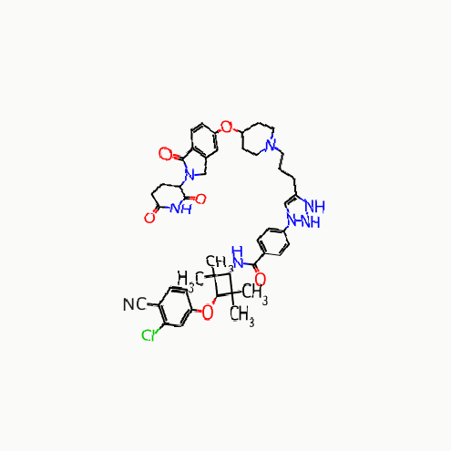 CC1(C)[C@H](NC(=O)c2ccc(N3C=C(CCCN4CCC(Oc5ccc6c(c5)CN(C5CCC(=O)NC5=O)C6=O)CC4)NN3)cc2)C(C)(C)[C@H]1Oc1ccc(C#N)c(Cl)c1